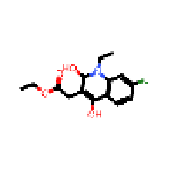 CCOC(=O)CC1=C(O)c2ccc(Cl)cc2N(CC)C1O